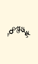 Cc1nc(-c2cc(C(=O)N(C)CCOc3ccc(F)cc3)n(C)c2)cs1